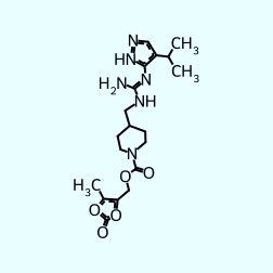 Cc1oc(=O)oc1COC(=O)N1CCC(CN/C(N)=N/c2[nH]ncc2C(C)C)CC1